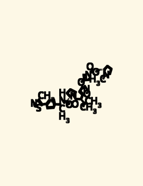 Cc1ncsc1-c1ccc([C@H](C)NC(=O)[C@@H]2CCCN2C(=O)[C@@H](c2cc(OC3CN(C(=O)OC[C@@H]4CCCN4C)C3)no2)C(C)C)cc1